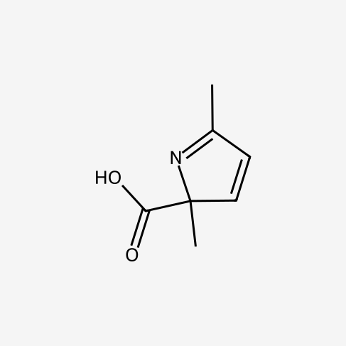 CC1=NC(C)(C(=O)O)C=C1